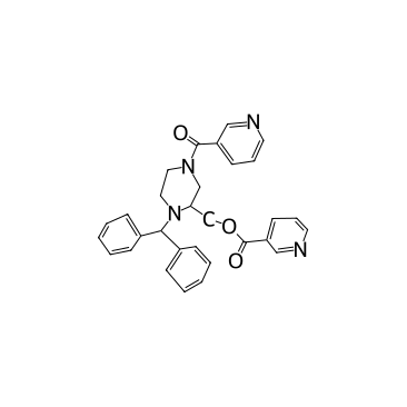 O=C(OCC1CN(C(=O)c2cccnc2)CCN1C(c1ccccc1)c1ccccc1)c1cccnc1